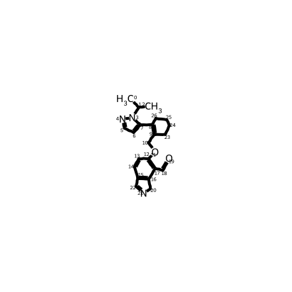 CC(C)n1nccc1C1=C(COc2ccc3c(c2C=O)CN=C3)CCCC1